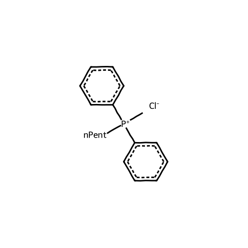 CCCCC[P+](C)(c1ccccc1)c1ccccc1.[Cl-]